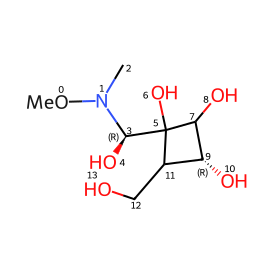 CON(C)[C@H](O)C1(O)C(O)[C@H](O)C1CO